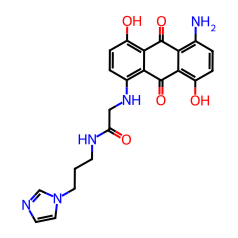 Nc1ccc(O)c2c1C(=O)c1c(O)ccc(NCC(=O)NCCCn3ccnc3)c1C2=O